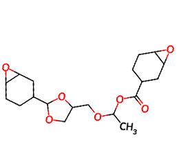 CC(OCC1COC(C2CCC3OC3C2)O1)OC(=O)C1CCC2OC2C1